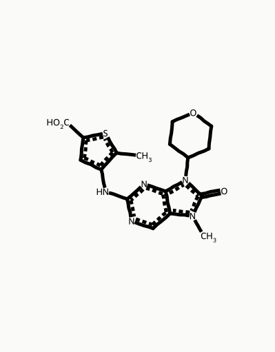 Cc1sc(C(=O)O)cc1Nc1ncc2c(n1)n(C1CCOCC1)c(=O)n2C